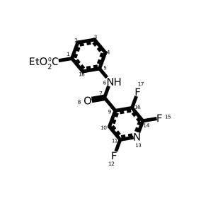 CCOC(=O)c1cccc(NC(=O)c2cc(F)nc(F)c2F)c1